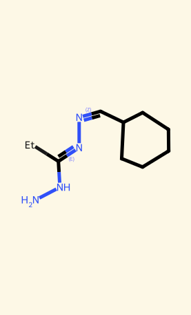 CC/C(=N\N=C/C1CCCCC1)NN